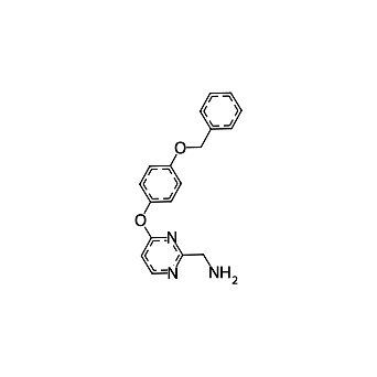 NCc1nccc(Oc2ccc(OCc3ccccc3)cc2)n1